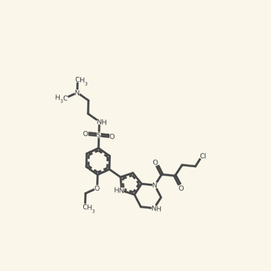 CCOc1ccc(S(=O)(=O)NCCN(C)C)cc1-c1cc2c([nH]1)CNCN2C(=O)C(=O)CCCl